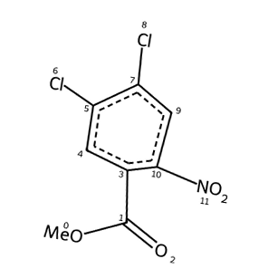 COC(=O)c1cc(Cl)c(Cl)cc1[N+](=O)[O-]